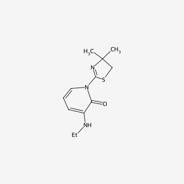 CCNc1cccn(C2=NC(C)(C)CS2)c1=O